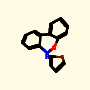 c1ccc2c(c1)NOc1ccccc1-2.c1ccsc1